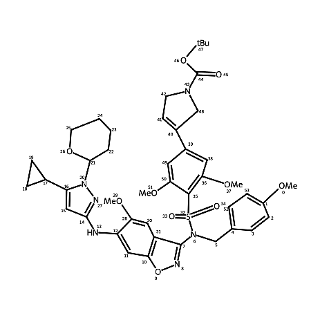 COc1ccc(CN(c2noc3cc(Nc4cc(C5CC5)n(C5CCCCO5)n4)c(OC)cc23)S(=O)(=O)c2c(OC)cc(C3=CCN(C(=O)OC(C)(C)C)C3)cc2OC)cc1